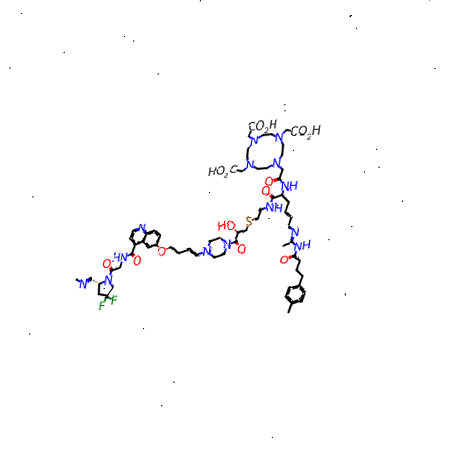 C/N=C/[C@H]1CC(F)(F)CN1C(=O)CNC(=O)c1ccnc2ccc(OCCCCN3CCN(C(=O)C(O)CSCCNC(=O)C(CCCC/N=C(\C)NC(=O)CCCc4ccc(C)cc4)NC(=O)CN4CCN(CC(=O)O)CCN(CC(=O)O)CCN(CC(=O)O)CC4)CC3)cc12